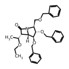 CCOC(C)[C@@H]1C(=O)N2[C@@H]1[C@H](OCc1ccccc1)[C@@H](OCc1ccccc1)[C@@H]2COCc1ccccc1